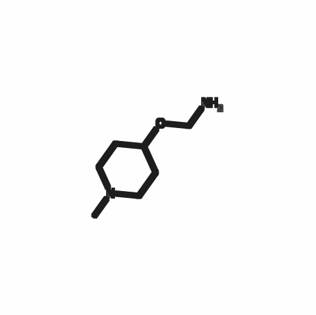 CN1CCC(OCN)CC1